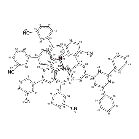 N#Cc1cccc(-c2ccc3c(c2)c2cc(-c4cccc(C#N)c4)ccc2n3-c2ccc(-c3cc(-c4ccccc4)nc(-c4ccccc4)n3)cc2-c2c(C#N)cccc2-n2c3ccc(-c4cccc(C#N)c4)cc3c3cc(-c4cccc(C#N)c4)ccc32)c1